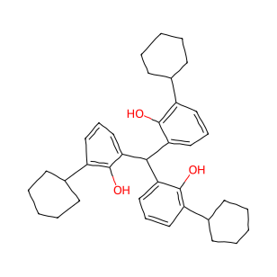 Oc1c(C2CCCCC2)cccc1C(c1cccc(C2CCCCC2)c1O)c1cccc(C2CCCCC2)c1O